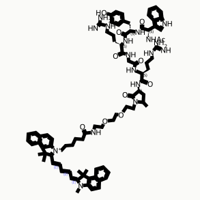 CC(=O)N[C@H](C(=O)N[C@@H](Cc1ccc(O)cc1)C(=O)N[C@@H](CCCNC(=N)N)C(=O)NCC(=O)N[C@@H](CCCNC(=N)N)C(=O)N[C@H]1CC(C)N(CCOCCOCCNC(=O)CCCCC[N+]2=C(/C=C/C=C/C=C3/N(C)c4ccc5ccccc5c4C3(C)C)C(C)(C)c3c2ccc2ccccc32)C1=O)c1c[nH]c2ccccc12